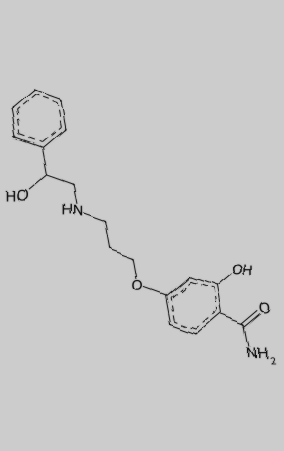 NC(=O)c1ccc(OCCCNCC(O)c2ccccc2)cc1O